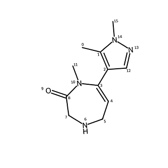 Cc1c(C2=CCNCC(=O)N2C)cnn1C